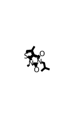 Cc1csc2c1c(=O)n(CC(C)C)c(=O)n2C